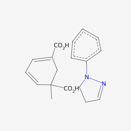 C1=NN(c2ccccc2)CC1.CC1(C(=O)O)C=CC=C(C(=O)O)C1